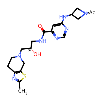 CC(=O)N1CC(Nc2cc(C(=O)NC[C@H](O)CN3CCc4nc(C)sc4C3)ncn2)C1